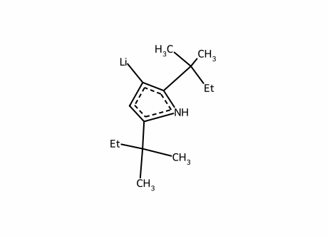 [Li][c]1cc(C(C)(C)CC)[nH]c1C(C)(C)CC